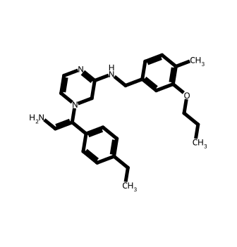 CCCOc1cc(CNC2=NC=CN(/C(=C\N)c3ccc(CC)cc3)C2)ccc1C